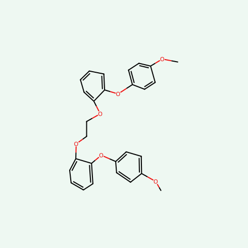 COc1ccc(Oc2ccccc2OCCOc2ccccc2Oc2ccc(OC)cc2)cc1